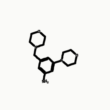 Nc1cc(CN2CCOCC2)cc(N2CCOCC2)c1